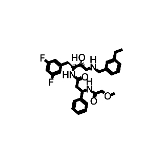 CCc1cccc(CNC[C@@H](O)[C@H](Cc2cc(F)cc(F)c2)NC(=O)CC(NC(=O)COC)c2ccccc2)c1